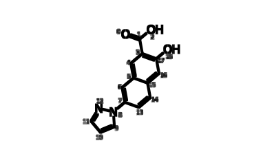 O=C(O)c1cc2cc(-n3cccn3)ccc2cc1O